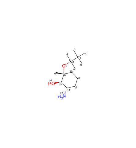 CC(C)(C)[Si](C)(C)O[C@]1(C)CCC[C@H](N)[C@H]1O